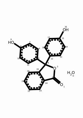 O.O=C1OC(c2ccc(O)cc2)(c2ccc(O)cc2)c2ccccc21